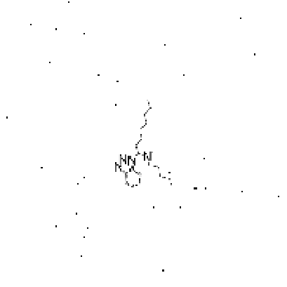 CCCCCCCC(N(C)CCCCC)n1nnc2ccccc21